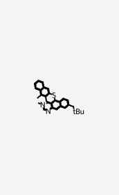 Cc1c2c(cc3ccccc13)Sc1c3ccc(CC(C)(C)C)cc3cc3nc[n+](C)c-2c13